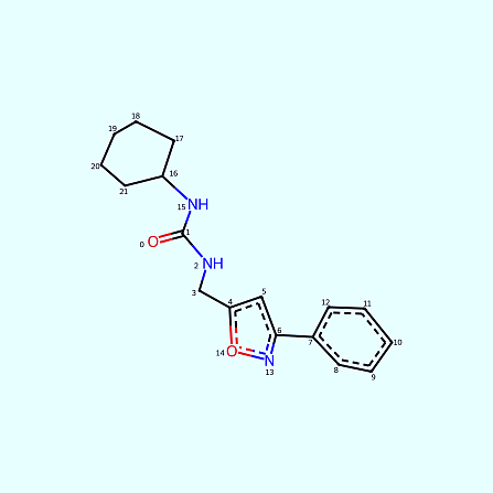 O=C(NCc1cc(-c2ccccc2)no1)NC1CCCCC1